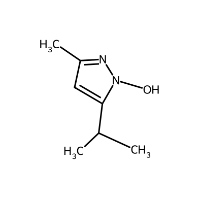 Cc1cc(C(C)C)n(O)n1